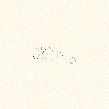 O=C(NCCC[C@@H](C(=O)O)N(C(=O)[C@@H]1CCCN1)S(=O)(=O)c1ccccc1[N+](=O)[O-])OCc1ccccc1